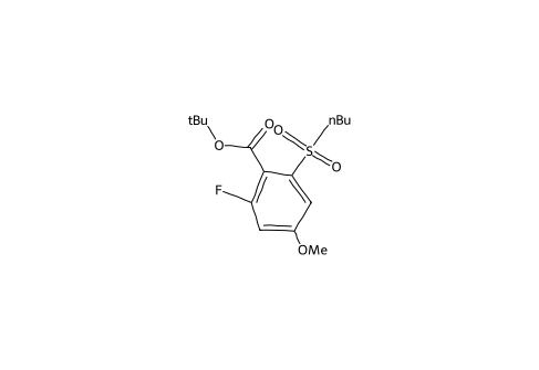 CCCCS(=O)(=O)c1cc(OC)cc(F)c1C(=O)OC(C)(C)C